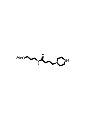 COCCCNC(=O)CCCN1CCNCC1